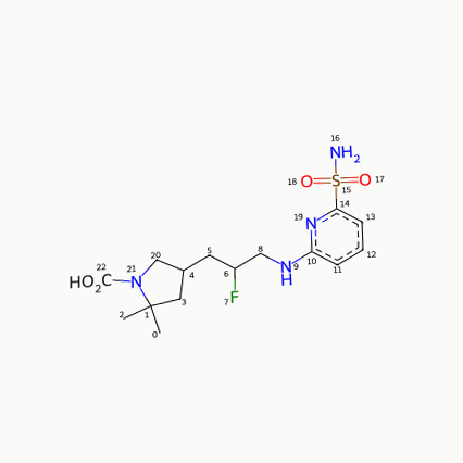 CC1(C)CC(CC(F)CNc2cccc(S(N)(=O)=O)n2)CN1C(=O)O